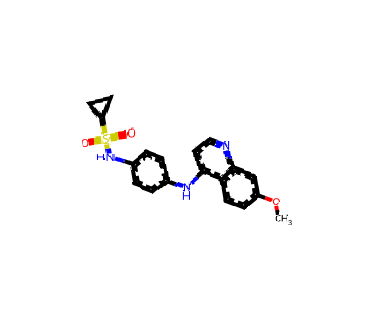 COc1ccc2c(Nc3ccc(NS(=O)(=O)C4CC4)cc3)ccnc2c1